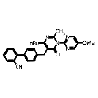 CCCCc1nc(C)n(-c2ncc(OC)cn2)c(=O)c1Cc1ccc(-c2ccccc2C#N)cc1